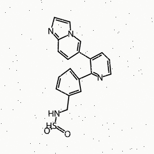 O=[SH](=O)NCc1cccc(-c2ncccc2-c2ccc3nccn3c2)c1